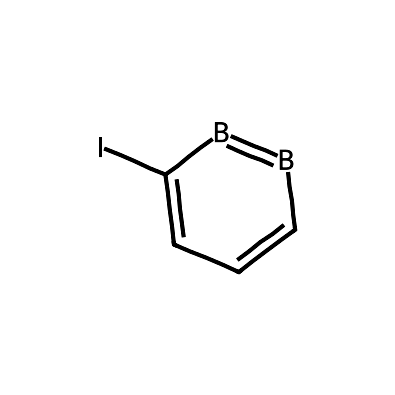 Ic1bbccc1